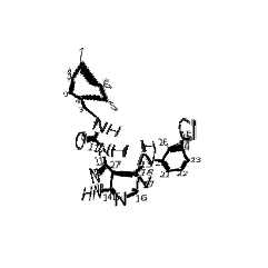 O=C(NCc1ccccc1)Nc1n[nH]c2ncnc(Nc3cccc(Cl)c3)c12